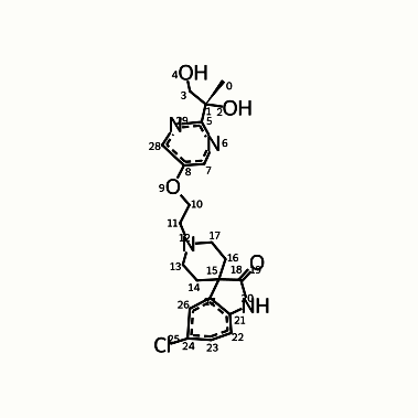 C[C@](O)(CO)c1ncc(OCCN2CCC3(CC2)C(=O)Nc2ccc(Cl)cc23)cn1